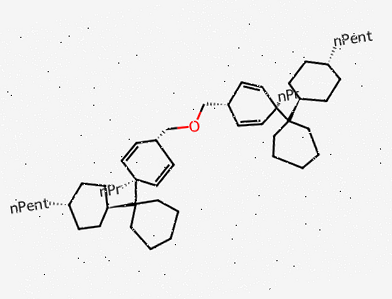 CCCCC[C@H]1CC[C@H](C2([C@]3(CCC)C=C[C@@H](COC[C@H]4C=C[C@](CCC)(C5([C@H]6CC[C@H](CCCCC)CC6)CCCCC5)C=C4)C=C3)CCCCC2)CC1